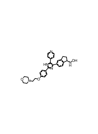 ONC1CCc2cc(-c3nc(-c4ccc(OCCN5CCOCC5)cc4)[nH]c3-c3ccncc3)ccc21